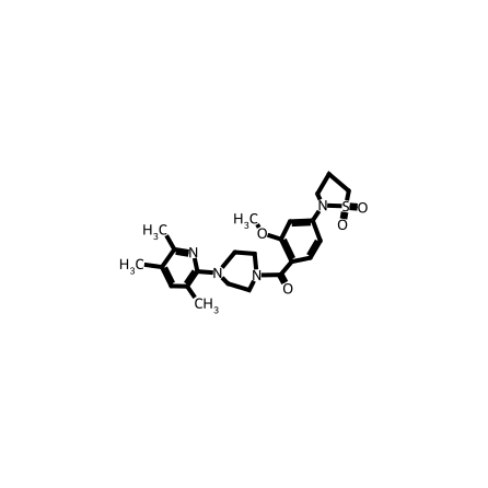 COc1cc(N2CCCS2(=O)=O)ccc1C(=O)N1CCN(c2nc(C)c(C)cc2C)CC1